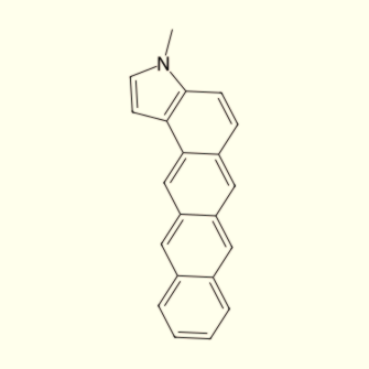 Cn1ccc2c3cc4cc5ccccc5cc4cc3ccc21